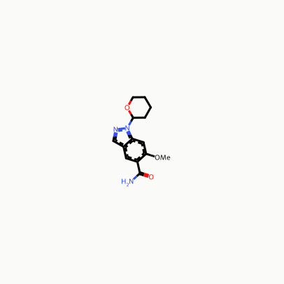 COc1cc2c(cnn2C2CCCCO2)cc1C(N)=O